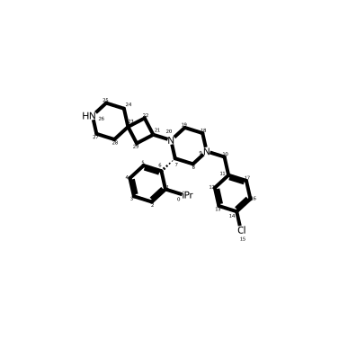 CC(C)c1ccccc1[C@H]1CN(Cc2ccc(Cl)cc2)CCN1C1CC2(CCNCC2)C1